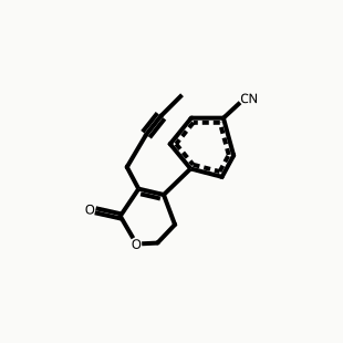 CC#CCC1=C(c2ccc(C#N)cc2)CCOC1=O